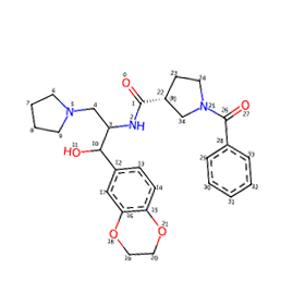 O=C(NC(CN1CCCC1)C(O)c1ccc2c(c1)OCCO2)[C@@H]1CCN(C(=O)c2ccccc2)C1